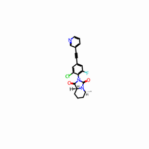 C[C@@H]1CCC[C@@H]2C(=O)N(c3c(F)cc(C#Cc4cccnc4)cc3Cl)C(=O)N12